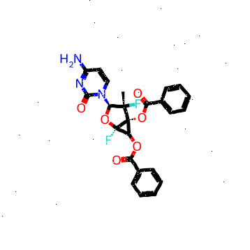 C[C@]1(F)[C@H](n2ccc(N)nc2=O)O[C@]2(F)C(OC(=O)c3ccccc3)[C@]12OC(=O)c1ccccc1